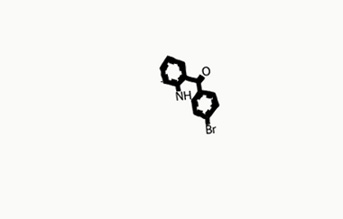 Nc1[c]cccc1C(=O)c1ccc(Br)cc1